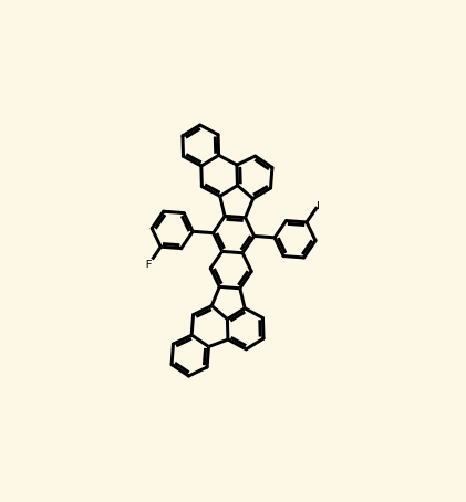 Fc1cccc(-c2c3cc4c(cc3c(-c3cccc(I)c3)c3c5cccc6c7ccccc7cc(c23)c65)c2cccc3c5ccccc5cc4c32)c1